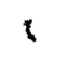 COc1cc2nn(C3CCN(Cc4cccc(NC5CCC(=O)NC5=O)c4)CC3)cc2cc1NC(=O)c1ccc(C(F)(F)F)nc1